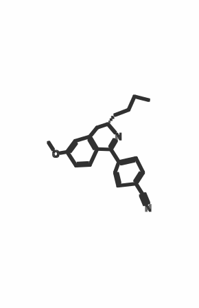 CCCC[C@H]1Cc2cc(OC)ccc2C(c2ccc(C#N)cc2)=N1